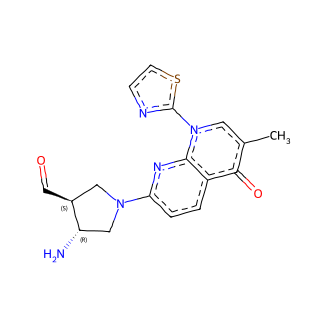 Cc1cn(-c2nccs2)c2nc(N3C[C@H](N)[C@@H](C=O)C3)ccc2c1=O